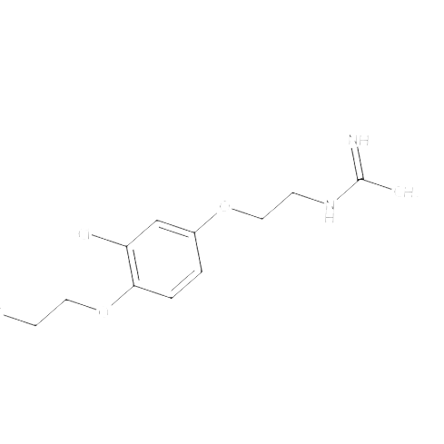 CC(=N)NCCOc1ccc(OCCF)c(Cl)c1